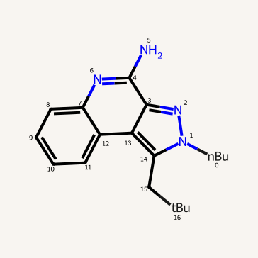 CCCCn1nc2c(N)nc3ccccc3c2c1CC(C)(C)C